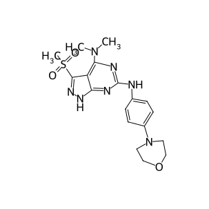 CN(C)c1nc(Nc2ccc(N3CCOCC3)cc2)nc2[nH]nc(S(C)(=O)=O)c12